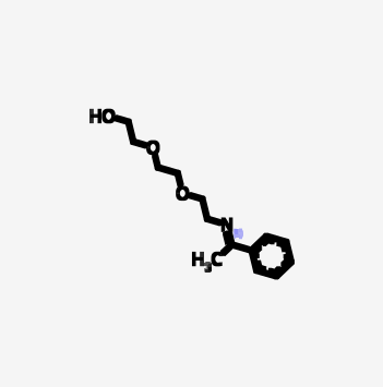 C/C(=N\CCOCCOCCO)c1ccccc1